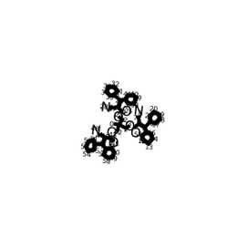 CC(COC(=O)C(C#N)=C(c1ccccc1)c1ccccc1)(COC(=O)C(C#N)=C(c1ccccc1)c1ccccc1)COC(=O)C(C#N)=C(c1ccccc1)c1ccccc1